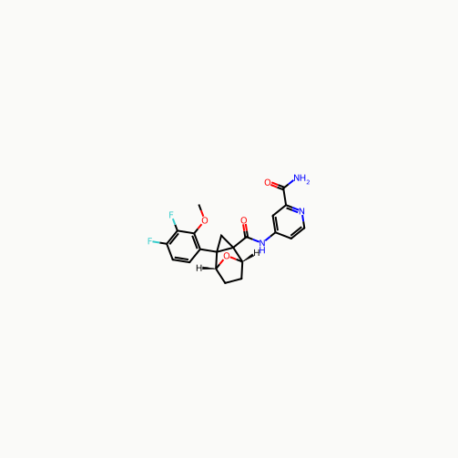 COc1c(C23CC2(C(=O)Nc2ccnc(C(N)=O)c2)[C@@H]2CC[C@H]3O2)ccc(F)c1F